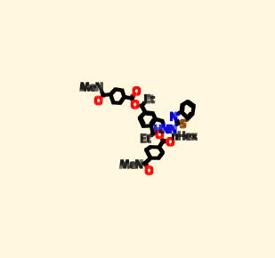 CCCCCCN(NCc1cc(C(CC)OC(=O)C2CCC(C(=O)NC)CC2)ccc1C(CC)OC(=O)C1CCC(C(=O)NC)CC1)c1nc2ccccc2s1